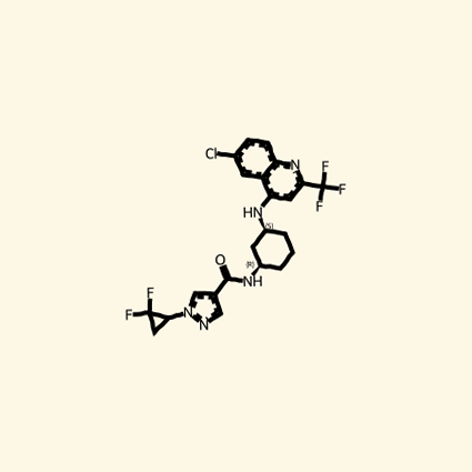 O=C(N[C@@H]1CCC[C@H](Nc2cc(C(F)(F)F)nc3ccc(Cl)cc23)C1)c1cnn(C2CC2(F)F)c1